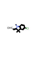 CN1C(=CC=O)C(C)(C)c2cc(Cl)ccc21